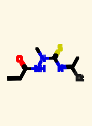 C=CC(=O)NN(C)C(=S)N=C(C)CC